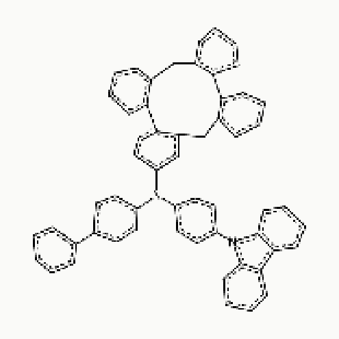 c1ccc(-c2ccc(N(c3ccc(-n4c5ccccc5c5ccccc54)cc3)c3ccc4c(c3)Cc3ccccc3-c3ccccc3Cc3ccccc3-4)cc2)cc1